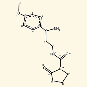 COc1ccc(C(N)CCNC(=O)N2CCCC2=O)cc1